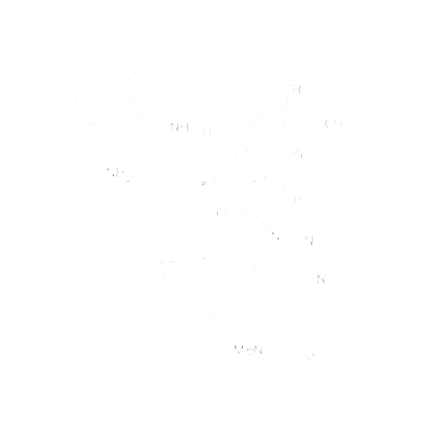 CNC(=O)c1nnn([C@@H]2O[C@H](CNc3ccccc3N)[C@H]3OC(C)(C)O[C@H]32)c1-c1ccccc1